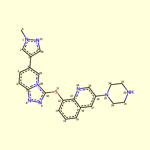 Cn1cc(-c2ccc3nnc(Sc4cccc5cc(N6CCNCC6)cnc45)n3c2)cn1